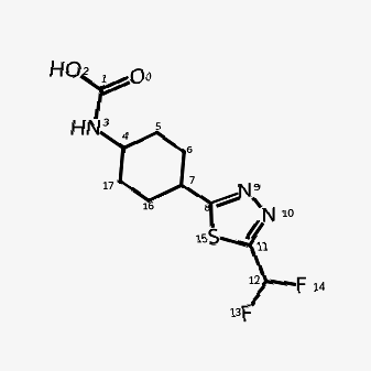 O=C(O)NC1CCC(c2nnc(C(F)F)s2)CC1